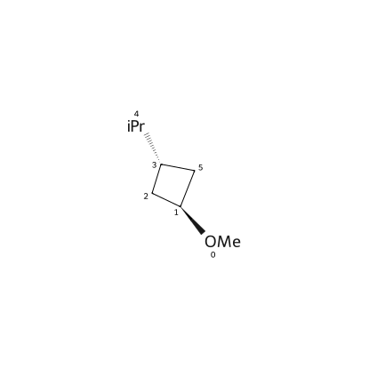 CO[C@H]1C[C@H](C(C)C)C1